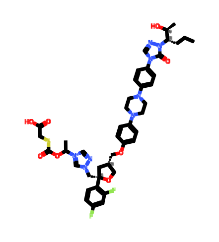 CCC[C@@H]([C@H](C)O)n1ncn(-c2ccc(N3CCN(c4ccc(OC[C@@H]5CO[C@@](Cn6c[n+](C(C)OC(=O)SCC(=O)O)cn6)(c6ccc(F)cc6F)C5)cc4)CC3)cc2)c1=O